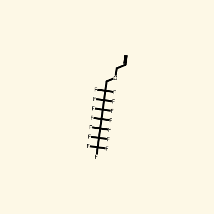 C=CCOCC(F)(F)C(F)(F)C(F)(F)C(F)(F)C(F)(F)C(F)(F)C(F)(F)F